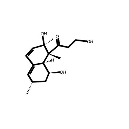 C[C@@H]1C=C2C=C[C@@](C)(O)[C@](C)(C(=O)CCO)[C@H]2[C@@H](O)C1